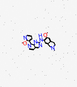 COc1cc2c(cc1Nc1ncc3ccnc(-c4cccnc4OC)c3n1)CN(C)CC2